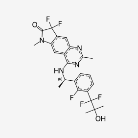 Cc1nc(N[C@H](C)c2cccc(C(F)(F)C(C)(C)O)c2F)c2cc3c(cc2n1)C(F)(F)C(=O)N3C